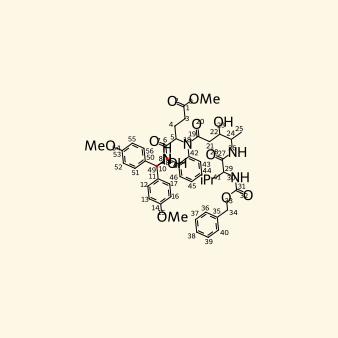 COC(=O)CCC(C(=O)N(O)Cc1ccc(OC)cc1)N(C(=O)CC(O)C(C)NC(=O)C(NC(=O)OCc1ccccc1)C(C)C)c1ccccc1NCc1ccc(OC)cc1